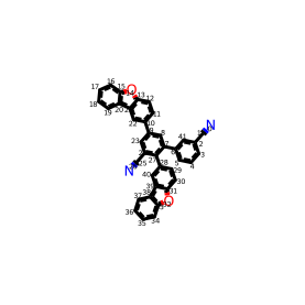 N#Cc1cccc(-c2cc(-c3ccc4oc5ccccc5c4c3)cc(C#N)c2-c2ccc3oc4ccccc4c3c2)c1